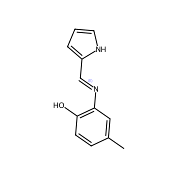 Cc1ccc(O)c(/N=C/c2ccc[nH]2)c1